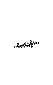 CCOCCNC(=O)[C@H]1C[C@@H](NC(=O)CCOCCC(=O)C(C)C)C1